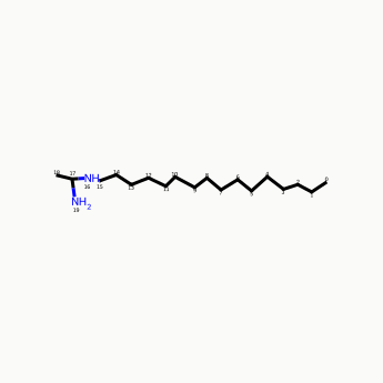 CCCCCCCCCCCCCCCCNC(C)N